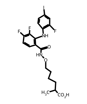 CC(CCCCONC(=O)c1ccc(F)c(F)c1Nc1ccc(I)cc1F)C(=O)O